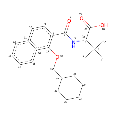 CC(C)(C)[C@H](NC(=O)c1ccc2ccccc2c1OCC1CCCCC1)C(=O)O